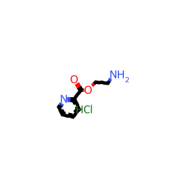 Cl.NCCOC(=O)c1ccccn1